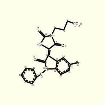 O=C(O)CCCN1C(=O)/C(=C2/C(=O)N(Cc3ccccc3)c3ccc(Br)cc32)SC1=S